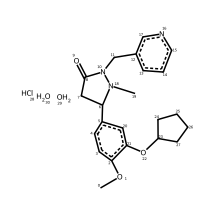 COc1ccc(C2CC(=O)N(Cc3cccnc3)N2C)cc1OC1CCCC1.Cl.O.O